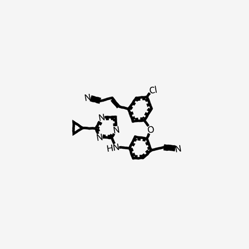 N#C/C=C/c1cc(Cl)cc(Oc2cc(Nc3ncnc(C4CC4)n3)ccc2C#N)c1